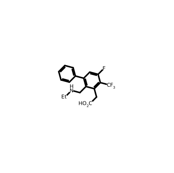 CCNCc1c(-c2ccccc2)cc(F)c(C(F)(F)F)c1CC(=O)O